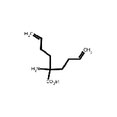 C=CCCC(N)(CCC=C)C(=O)OCC